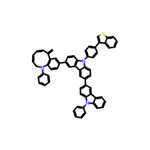 C=C1/C=C\C=C/CN(c2ccccc2)c2ccc(-c3ccc4c(c3)c3cc(-c5ccc6c(c5)c5ccccc5n6-c5ccccc5)ccc3n4-c3ccc(-c4csc5ccccc45)cc3)cc21